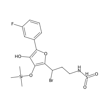 C[Si](C)(C)Oc1c(C(Br)CCN[SH](=O)=O)oc(-c2cccc(F)c2)c1O